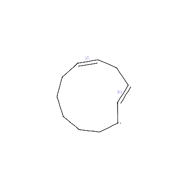 [CH]1/C=C/C/C=C\CCCCC1